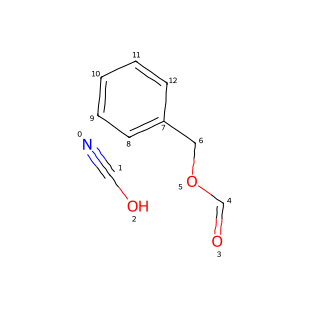 N#CO.O=COCc1ccccc1